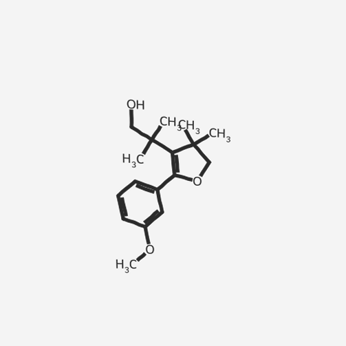 COc1cccc(C2=C(C(C)(C)CO)C(C)(C)CO2)c1